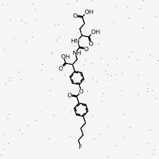 O=C(O)CCC(NC(=O)NCC(C(=O)O)c1ccc(OC(=O)c2ccc(CCCCF)cc2)cc1)C(=O)O